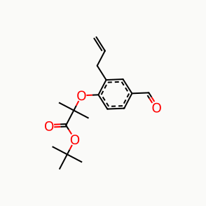 C=CCc1cc(C=O)ccc1OC(C)(C)C(=O)OC(C)(C)C